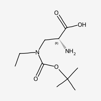 CCN(C[C@@H](N)C(=O)O)C(=O)OC(C)(C)C